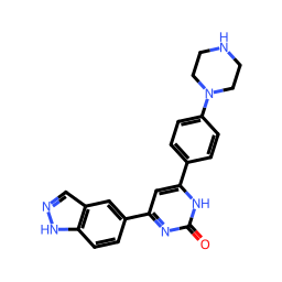 O=c1nc(-c2ccc3[nH]ncc3c2)cc(-c2ccc(N3CCNCC3)cc2)[nH]1